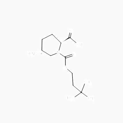 CC(C)(C)CCOC(=O)N1C[C@H](N)CC[C@H]1C(=O)O